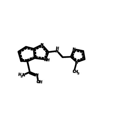 Cn1ccnc1CNc1nc2cccc(C(N)=NO)c2[nH]1